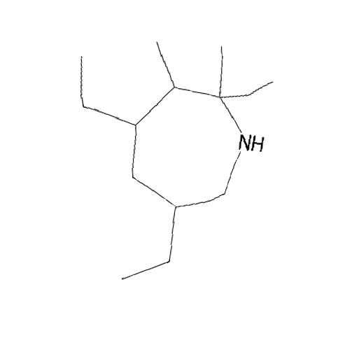 CCC1CNC(C)(C)C(C)C(CC)C1